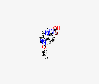 CN1Cc2cnn(COCC[Si](C)(C)C)c2-c2cccc(NC(=O)O)c21